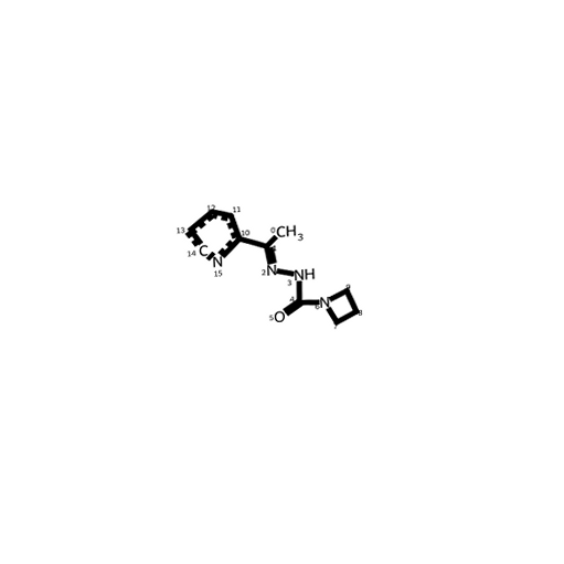 C/C(=N\NC(=O)N1CCC1)c1ccccn1